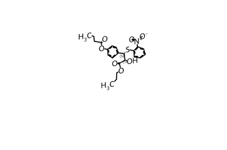 CCCOC(=O)[C@H](O)[C@@H](Sc1ccccc1[N+](=O)[O-])c1ccc(OC(=O)CCC)cc1